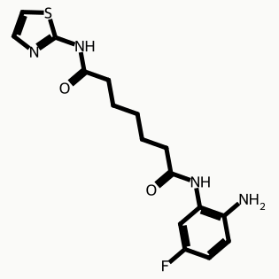 Nc1ccc(F)cc1NC(=O)CCCCCC(=O)Nc1nccs1